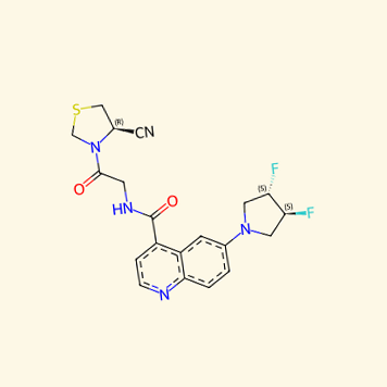 N#C[C@@H]1CSCN1C(=O)CNC(=O)c1ccnc2ccc(N3C[C@H](F)[C@@H](F)C3)cc12